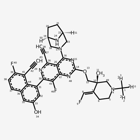 [2H]C([2H])([2H])N1CC/C(=C\F)[C@](C)(COc2nc(N3C[C@H]4CC[C@@H](C3)N4)c3c(C#C)nc(-c4cc(O)cc5ccc(F)c(C#C)c45)c(F)c3n2)C1